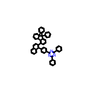 CC12C=CC=CC1c1c(-c3ccc4ccccc4c3-c3ccc(-c4nc(-c5ccccc5)nc(-c5ccccc5)n4)cc3)cccc1C2(c1ccccc1)c1ccccc1